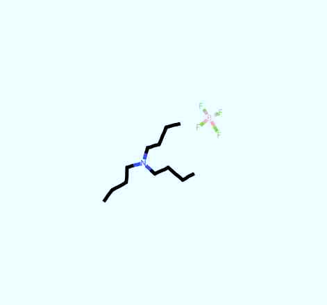 CCCCN(CCCC)CCCC.F[B-](F)(F)F